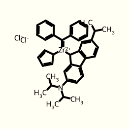 CC(C)c1ccc2c(c1)[CH]([Zr+2](=[C](c1ccccc1)c1ccccc1)[CH]1C=CC=C1)c1cc(N(C(C)C)C(C)C)ccc1-2.[Cl-].[Cl-]